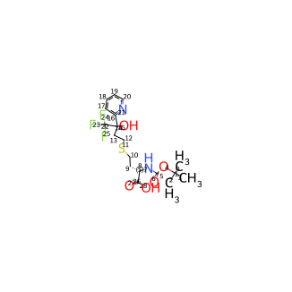 CC(C)(C)OC(=O)N[C@@H](CCSCCC(O)(c1ccccn1)C(F)(F)F)C(=O)O